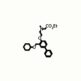 CCOC(=O)CN(C)CCOc1ccc(-c2ccccc2)cc1COC1CCCCC1